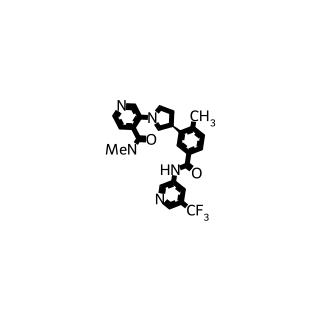 CNC(=O)c1ccncc1N1CC[C@@H](c2cc(C(=O)Nc3cncc(C(F)(F)F)c3)ccc2C)C1